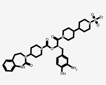 Bc1cc(C[C@@H](OC(=O)N2CCC(N3CCc4ccccc4NC3=O)CC2)C(=O)N2CCC(C3CCN(S(=O)(=O)CC)CC3)CC2)ccc1O